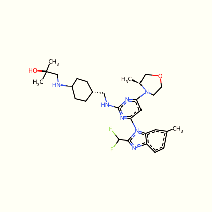 Cc1ccc2nc(C(F)F)n(-c3cc(N4CCOC[C@@H]4C)nc(NC[C@H]4CC[C@H](NCC(C)(C)O)CC4)n3)c2c1